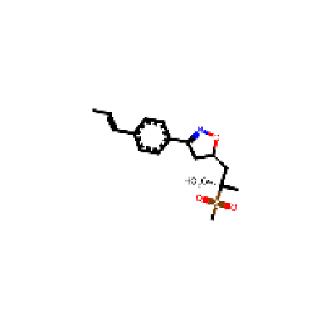 CC=Cc1ccc(C2=NO[C@@H](C[C@](C)(C(=O)O)S(C)(=O)=O)C2)cc1